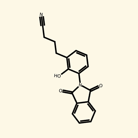 N#CCCCc1cccc(N2C(=O)c3ccccc3C2=O)c1O